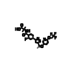 C[C@@H](Oc1ccc(OCC(F)(F)F)nc1)c1cc(-c2ccc(C(=O)NC(C)(C)C(=O)O)c(F)c2)ns1